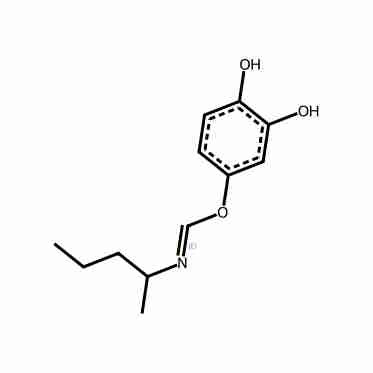 CCCC(C)/N=C/Oc1ccc(O)c(O)c1